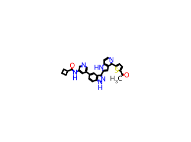 CC(=O)c1ccc(-c2nccc3[nH]c(-c4n[nH]c5ccc(-c6cncc(NC(=O)C7CCC7)c6)cc45)cc23)s1